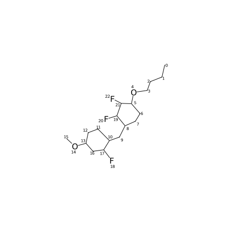 CCCCOC1CCC(CC2CCC(OC)CC2F)C(F)C1F